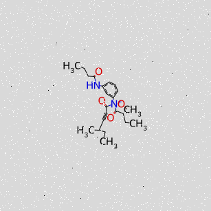 CCCC(=O)Nc1cccc([N+](OC)(C(=O)C#CC(C)CC)C(=O)CCC)c1